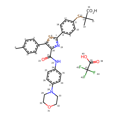 Cc1ccc(-c2sc(-c3ccc(SC(C)(C)C(=O)O)cc3)nc2C(=O)Nc2ccc(N3CCOCC3)cc2)cc1.O=C(O)C(F)(F)F